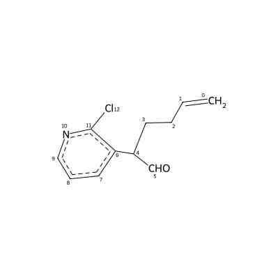 C=CCCC(C=O)c1cccnc1Cl